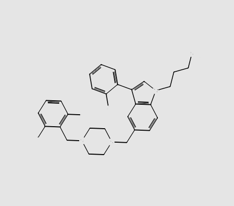 NCCCn1cc(-c2ccccc2Cl)c2cc(CN3CCN(Cc4c(Cl)cccc4Cl)CC3)ccc21